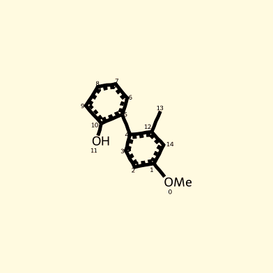 COc1ccc(-c2ccccc2O)c(C)c1